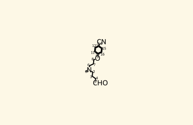 CN(CCCC=O)CCCOc1ccc(C#N)cc1